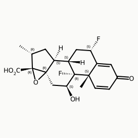 C[C@@H]1C[C@H]2[C@@H]3C[C@H](F)C4=CC(=O)C=C[C@]4(C)[C@@]3(F)[C@@H](O)C[C@@]23O[C@]13C(=O)O